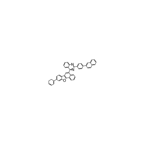 C1=CCCC(c2ccc3c(c2)oc2c4ccccc4c(-c4nc(-c5ccc(-c6ccc7ccccc7c6)cc5)nc5ccccc45)cc32)=C1